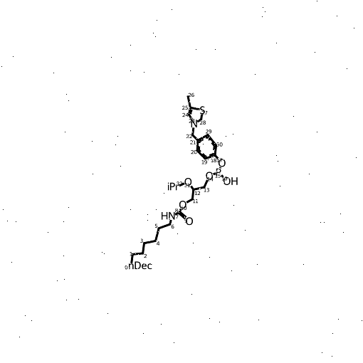 CCCCCCCCCCCCCCCCNC(=O)OCC(COP(O)Oc1ccc(CN2C=C(C)SC2)cc1)OC(C)C